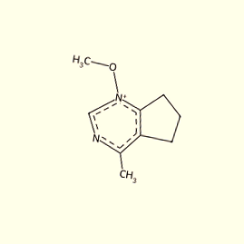 CO[n+]1cnc(C)c2c1CCC2